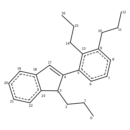 CCC[C]1C(c2cccc(CCC)c2CCC)=Cc2ccccc21